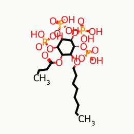 CCCCCCCCO[C@H]1[C@@H](OC(=O)CCC)[C@@H](OP(=O)(O)O)[C@H](OP(=O)(O)O)[C@@H](OP(=O)(O)O)[C@@H]1OP(=O)(O)O